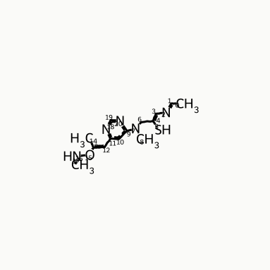 C/C=N/C=C(\S)CN(C)c1cc(/C=C(\C)ONC)ncn1